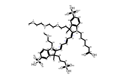 COCCOCCOCCC1(C)\C(=C/C=C/C=C/C2=[N+](CCOC)c3ccc(S(=O)(=O)O)cc3C2(C)CCCS(=O)(=O)O)N(CCCCCC(=O)O)c2ccc(S(=O)(=O)O)cc21